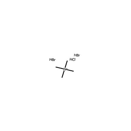 Br.Br.C[N+](C)(C)C.Cl